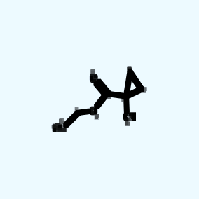 CC(C)(C)COC(=O)C1(C#N)CC1